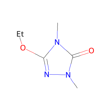 CCOc1nn(C)c(=O)n1C